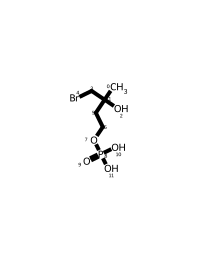 CC(O)(CBr)CCOP(=O)(O)O